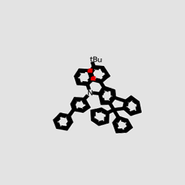 CC(C)(C)c1ccc(-c2cc3c(cc2N(c2ccccc2)c2ccc(-c4ccccc4)cc2)C(c2ccccc2)(c2ccccc2)c2ccccc2-3)cc1